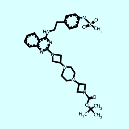 CC(C)(C)OC(=O)N1CC(N2CCN(C3CN(c4nc(NCCc5ccc(NS(C)(=O)=O)cc5)c5ccccc5n4)C3)CC2)C1